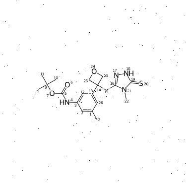 Cc1cc(NC(=O)OC(C)(C)C)cc(C2(Cc3n[nH]c(=S)n3C)COC2)c1